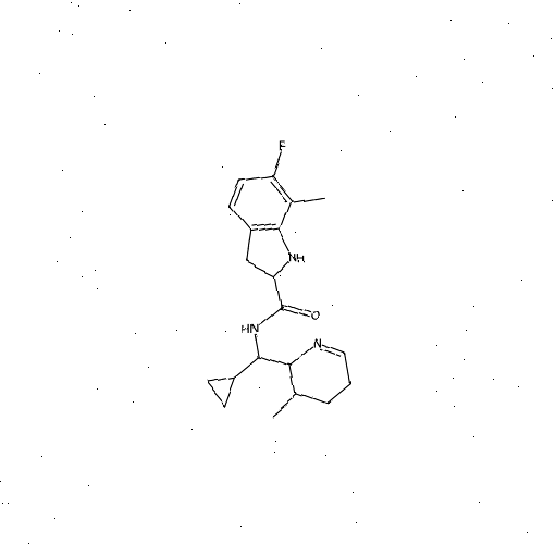 Cc1c(F)ccc2c1NC(C(=O)NC(C1CC1)C1N=CCCC1C)C2